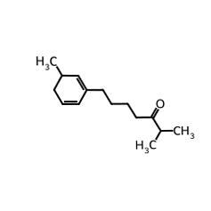 CC1C=C(CCCCC(=O)C(C)C)C=CC1